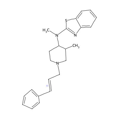 CC1CN(C/C=C/c2ccccc2)CCC1N(C)c1nc2ccccc2s1